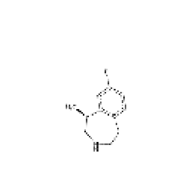 C[C@@H]1CNCCc2ccc(F)cc21